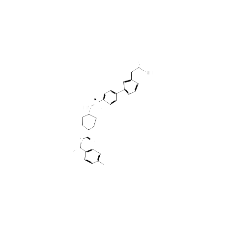 C[C@@H](NC(=O)[C@H]1CC[C@H](NS(=O)(=O)c2ccc(-c3cccc(C[C@@H](N)C(=O)O)c3)cc2)CC1)c1ccc(F)cc1